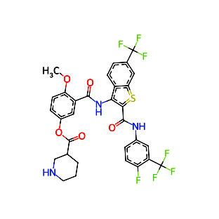 COc1ccc(OC(=O)C2CCCNC2)cc1C(=O)Nc1c(C(=O)Nc2ccc(F)c(C(F)(F)F)c2)sc2cc(C(F)(F)F)ccc12